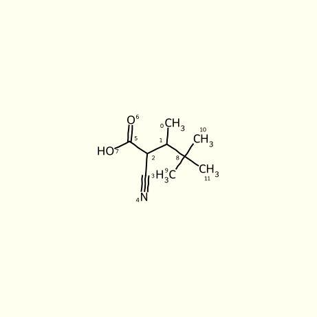 CC(C(C#N)C(=O)O)C(C)(C)C